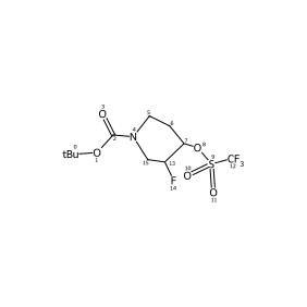 CC(C)(C)OC(=O)N1CCC(OS(=O)(=O)C(F)(F)F)C(F)C1